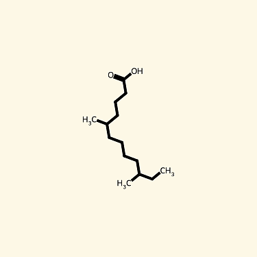 CCC(C)CCCCC(C)CCCC(=O)O